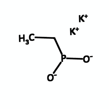 CCP([O-])[O-].[K+].[K+]